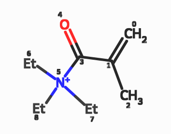 C=C(C)C(=O)[N+](CC)(CC)CC